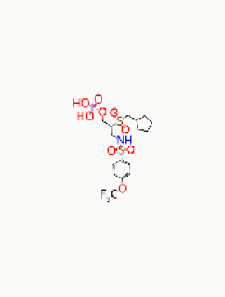 O=P(O)(O)OCC(CNS(=O)(=O)c1ccc(OC(F)(F)F)cc1)S(=O)(=O)CC1CCCC1